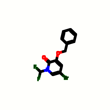 O=c1c(OCc2ccccc2)cc(Br)cn1C(F)F